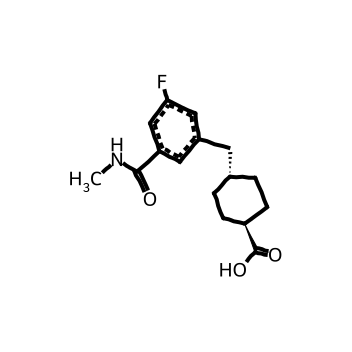 CNC(=O)c1cc(F)cc(C[C@H]2CC[C@H](C(=O)O)CC2)c1